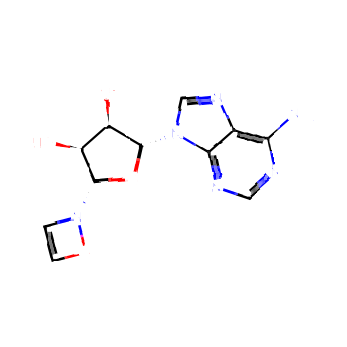 Nc1ncnc2c1ncn2[C@@H]1O[C@H](n2cco2)[C@@H](O)[C@H]1O